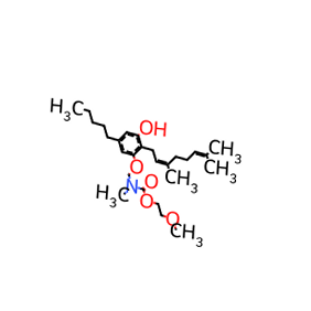 CCCCCc1cc(O)c(CC=C(C)CCC=C(C)C)c(OCN(C)C(=O)OCCOC)c1